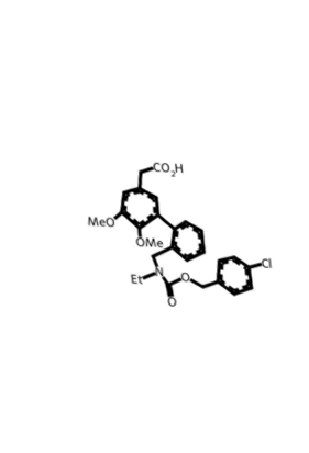 CCN(Cc1ccccc1-c1cc(CC(=O)O)cc(OC)c1OC)C(=O)OCc1ccc(Cl)cc1